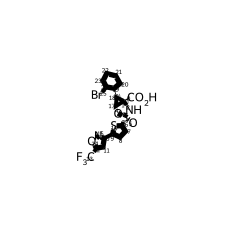 O=C(O)[C@]1(NS(=O)(=O)c2ccc(-c3cc(C(F)(F)F)on3)s2)C[C@@H]1c1ccccc1Br